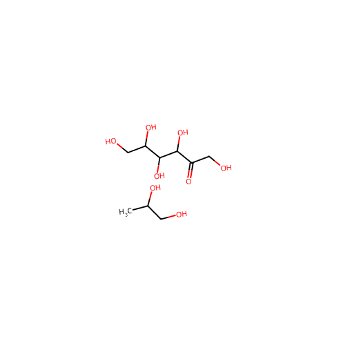 CC(O)CO.O=C(CO)C(O)C(O)C(O)CO